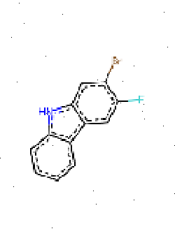 Fc1cc2c(cc1Br)[nH]c1ccccc12